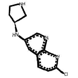 Clc1ccc2cc(N[C@H]3CCNC3)cnc2n1